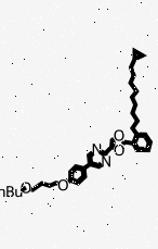 CCCCOCCCCOc1ccc(-c2cnc(C3=COC(c4ccccc4CCCCCCCCCC4CC4)O3)nc2)cc1